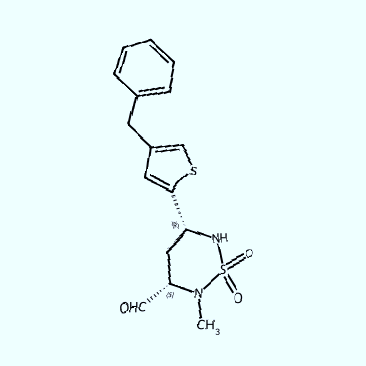 CN1[C@H](C=O)C[C@H](c2cc(Cc3ccccc3)cs2)NS1(=O)=O